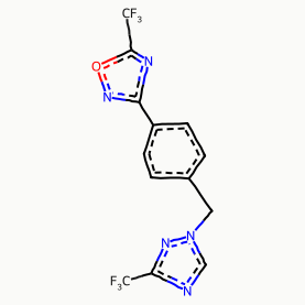 FC(F)(F)c1ncn(Cc2ccc(-c3noc(C(F)(F)F)n3)cc2)n1